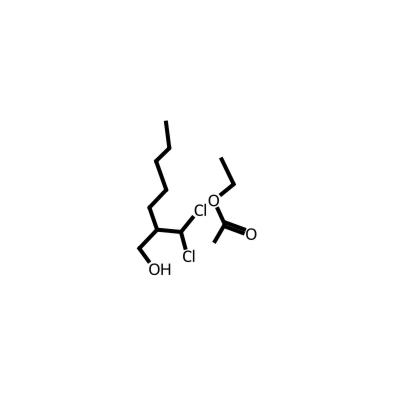 CCCCCC(CO)C(Cl)Cl.CCOC(C)=O